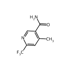 Cc1cc(C(F)(F)F)ncc1C(N)=O